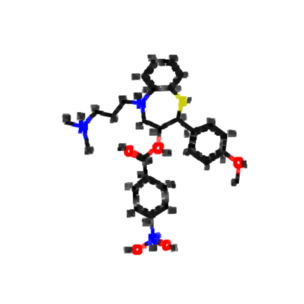 COc1ccc(C2Sc3ccccc3N(CCCN(C)C)CC2OC(=O)c2ccc([N+](=O)[O-])cc2)cc1